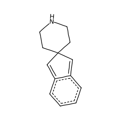 C1=c2ccccc2=CC12CCNCC2